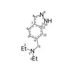 CCN(CC)Cc1ccc2cn[nH]c2c1